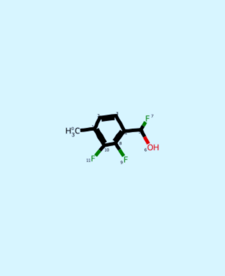 Cc1ccc(C(O)F)c(F)c1F